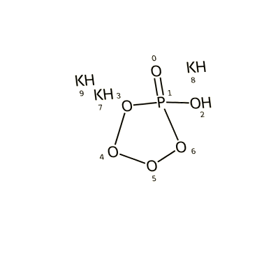 O=P1(O)OOOO1.[KH].[KH].[KH]